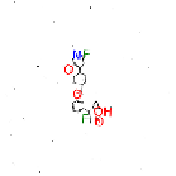 COc1cnc(F)cc1C1CCC(COc2cccc([C@H](C3CC3)[C@@](C)(F)C(=O)O)c2)CC1